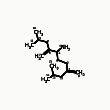 C=C(CCC(N)C(=C)CC(C)C)CC(C)C